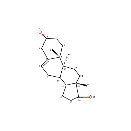 C[C@]12CC[C@H](O)CC1=CCC1C3CCC(=O)[C@@]3(C)CC[C@@H]12